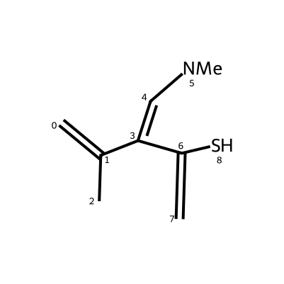 C=C(C)/C(=C/NC)C(=C)S